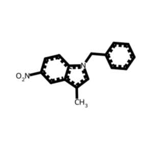 Cc1cn(Cc2ccccc2)c2ccc([N+](=O)[O-])cc12